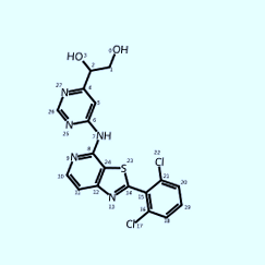 OCC(O)c1cc(Nc2nccc3nc(-c4c(Cl)cccc4Cl)sc23)ncn1